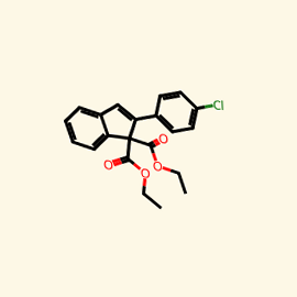 CCOC(=O)C1(C(=O)OCC)C(c2ccc(Cl)cc2)=Cc2ccccc21